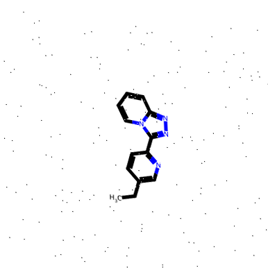 CCc1ccc(-c2nnc3ccccn23)nc1